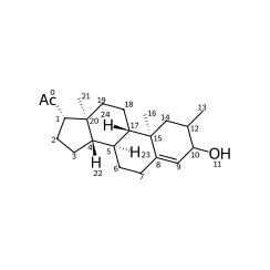 CC(=O)[C@H]1CC[C@H]2[C@@H]3CCC4=CC(O)C(C)C[C@]4(C)[C@H]3CC[C@]12C